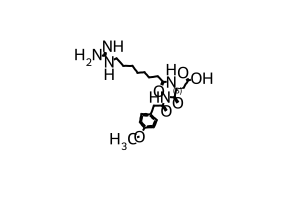 COc1ccc(CC(=O)NC(=O)[C@H](CC(=O)O)NC(=O)CCCCCCCNC(=N)N)cc1